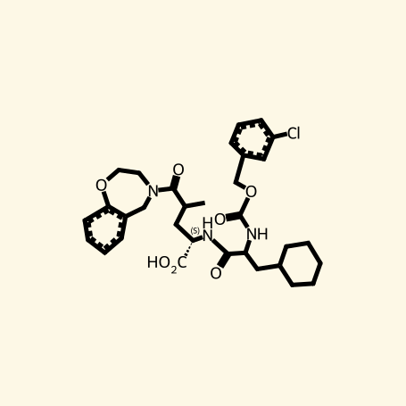 CC(C[C@H](NC(=O)C(CC1CCCCC1)NC(=O)OCc1cccc(Cl)c1)C(=O)O)C(=O)N1CCOc2ccccc2C1